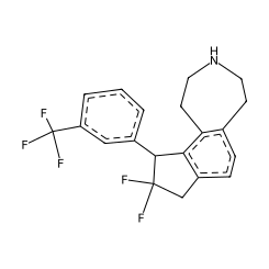 FC(F)(F)c1cccc(C2c3c(ccc4c3CCNCC4)CC2(F)F)c1